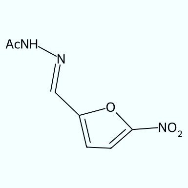 CC(=O)NN=Cc1ccc([N+](=O)[O-])o1